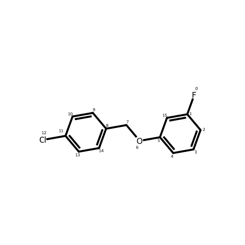 Fc1[c]ccc(OCc2ccc(Cl)cc2)c1